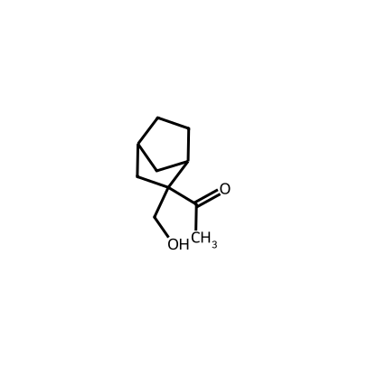 CC(=O)C1(CO)CC2CCC1C2